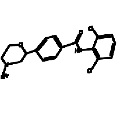 CCCN1CCOC(c2ccc(C(=O)Nc3c(Cl)cccc3Cl)cc2)C1